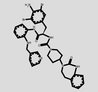 Nc1c(Br)cc(C[C@@H](NC(=O)N2CCC(N3CCc4ccccc4NC3=O)CC2)C(=O)Nc2ccccc2NCc2cccnc2)cc1Br